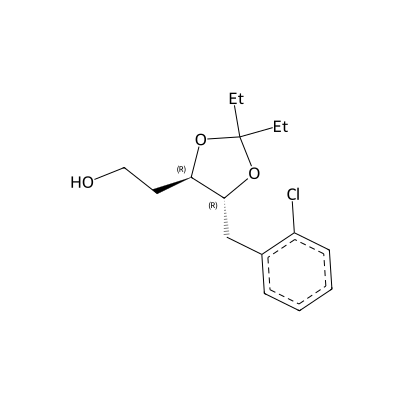 CCC1(CC)O[C@H](CCO)[C@@H](Cc2ccccc2Cl)O1